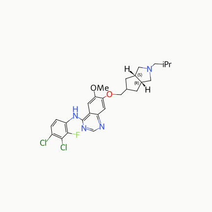 COc1cc2c(Nc3ccc(Cl)c(Cl)c3F)ncnc2cc1OCC1C[C@@H]2CN(CC(C)C)C[C@@H]2C1